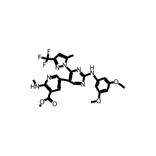 CNc1ncc(-c2cnc(Nc3cc(OC)cc(OC)c3)nc2-n2nc(C(F)(F)F)cc2C)cc1C(=O)OC